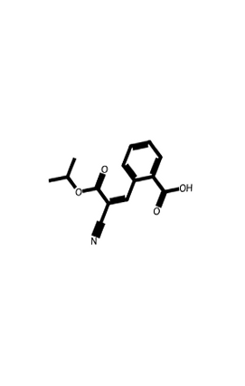 CC(C)OC(=O)C(C#N)=Cc1ccccc1C(=O)O